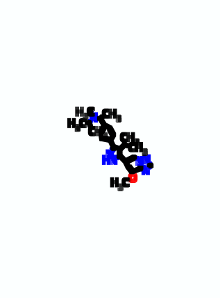 COc1cc(-c2[nH]nc(-c3ccc(C(C)N(C)C(C)C)cc3)c2C(C)C)cn2ncnc12